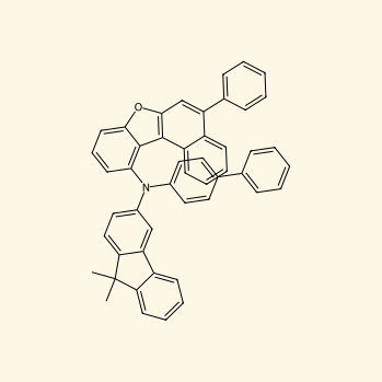 CC1(C)c2ccccc2-c2cc(N(c3ccc(-c4ccccc4)cc3)c3cccc4oc5cc(-c6ccccc6)c6ccccc6c5c34)ccc21